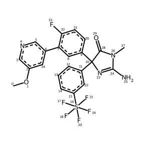 COc1cncc(-c2cc(C3(c4cccc(S(F)(F)(F)(F)F)c4)N=C(N)N(C)C3=O)ccc2F)c1